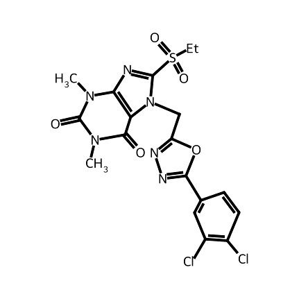 CCS(=O)(=O)c1nc2c(c(=O)n(C)c(=O)n2C)n1Cc1nnc(-c2ccc(Cl)c(Cl)c2)o1